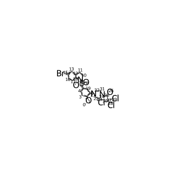 COc1ccc(S(=O)(=O)n2ccc3cc(Br)ccc32)cc1N1CCN(C(=O)C(Cl)(Cl)Cl)CC1